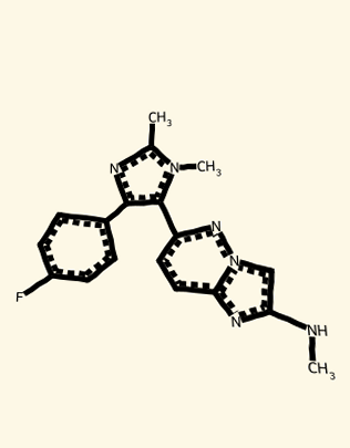 CNc1cn2nc(-c3c(-c4ccc(F)cc4)nc(C)n3C)ccc2n1